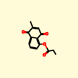 CCC(=O)Oc1cccc2c1C(=O)C=C(C)C2=O